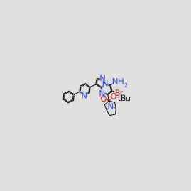 CC(C)(C)OC(=O)N1C2CCC1CC(c1nc3c(-c4ccc(-c5ccccc5)nc4)cnn3c(N)c1Br)C2